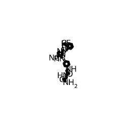 N#Cc1cnc(NCc2ccccc2OC(F)(F)F)nc1NC[C@H]1CC[C@H](NCC(=O)NCC(N)=O)CC1